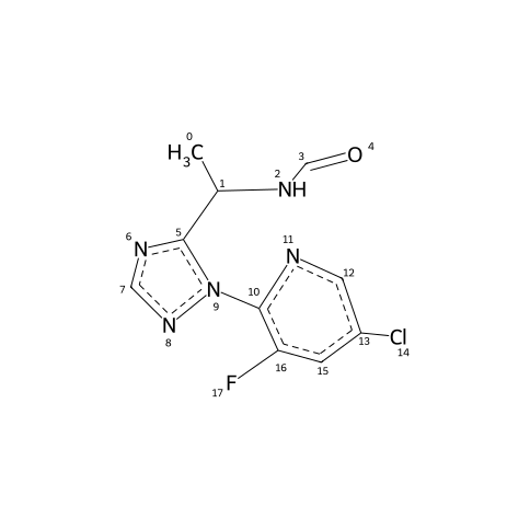 CC(NC=O)c1ncnn1-c1ncc(Cl)cc1F